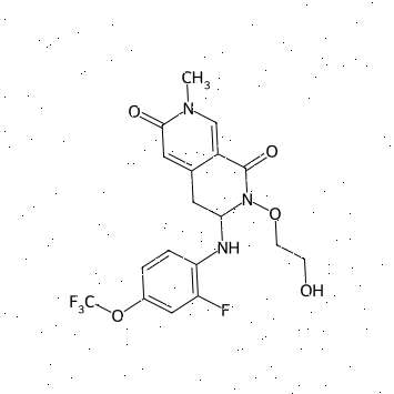 Cn1cc2c(cc1=O)CC(Nc1ccc(OC(F)(F)F)cc1F)N(OCCO)C2=O